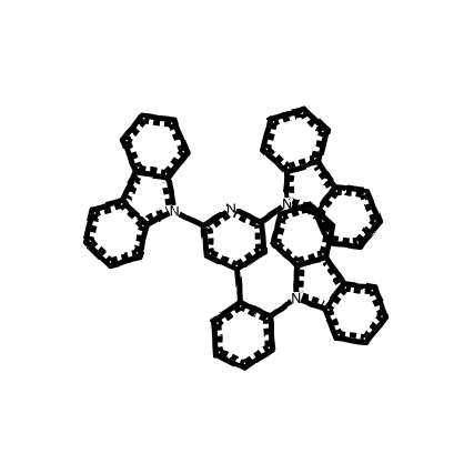 c1ccc(-n2c3ccccc3c3ccccc32)c(-c2cc(-n3c4ccccc4c4ccccc43)nc(-n3c4ccccc4c4ccccc43)c2)c1